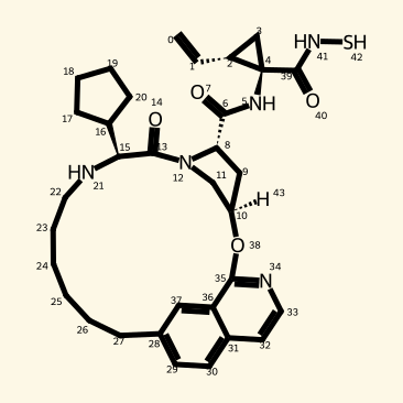 C=C[C@@H]1C[C@]1(NC(=O)[C@@H]1C[C@@H]2CN1C(=O)[C@H](C1CCCC1)NCCCCCCc1ccc3ccnc(c3c1)O2)C(=O)NS